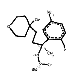 CC(C)(C)[S@@+]([O-])N[C@@](C)(CCC1(C#N)CCOCC1)c1cc([N+](=O)[O-])ccc1F